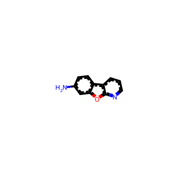 Nc1ccc2c(c1)oc1ncccc12